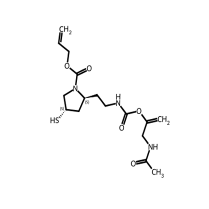 C=CCOC(=O)N1C[C@@H](S)C[C@@H]1CCNC(=O)OC(=C)CNC(C)=O